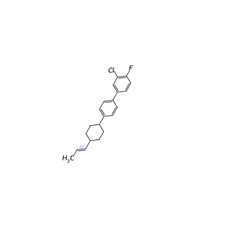 C/C=C/C1CCC(c2ccc(-c3ccc(F)c(Cl)c3)cc2)CC1